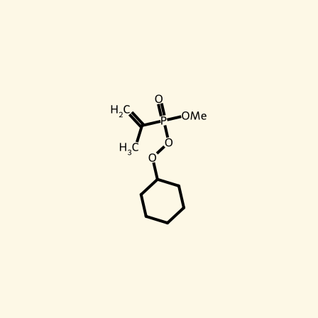 C=C(C)P(=O)(OC)OOC1CCCCC1